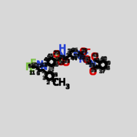 Cc1ccc(-c2cc(C(F)(F)F)nn2-c2ccc(S(=O)(=O)NC(=O)C3CCN([N+]([O-])=NOCN4C(=O)c5ccccc5C4=O)C3)cc2)cc1